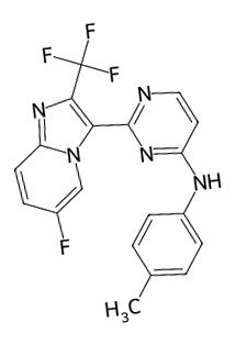 Cc1ccc(Nc2ccnc(-c3c(C(F)(F)F)nc4ccc(F)cn34)n2)cc1